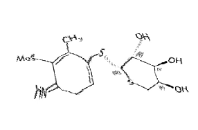 CSC1=C(C)C(S[C@H]2SC[C@H](O)[C@H](O)[C@H]2O)=CCC1=N